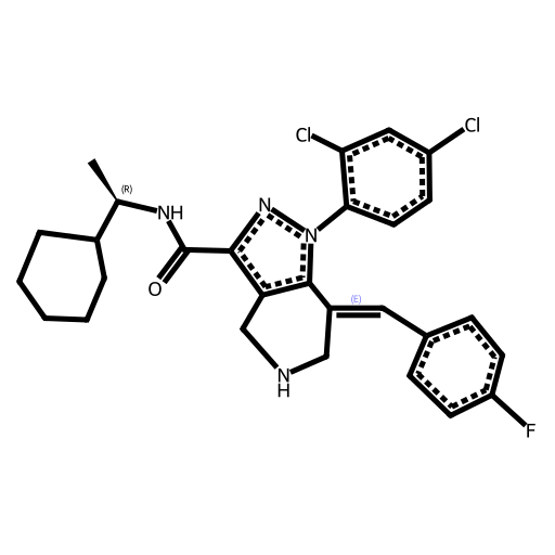 C[C@@H](NC(=O)c1nn(-c2ccc(Cl)cc2Cl)c2c1CNC/C2=C\c1ccc(F)cc1)C1CCCCC1